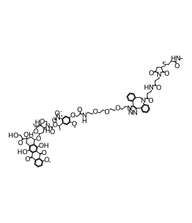 CNC(=O)CCSC1CC(=O)N(CCC(=O)NCCC(=O)N2Cc3ccccc3-c3c(nnn3CCOCCOCCOCCNC(=O)COc3cc([N+](=O)[O-])c(C(C)OC(=O)N4CO[C@@H]5[C@H](C)OC(OC6CC(O)(C(=O)CO)Cc7c(O)c8c(c(O)c76)C(=O)c6c(OC)cccc6C8=O)C[C@@H]54)cc3OC)-c3ccccc32)C1=O